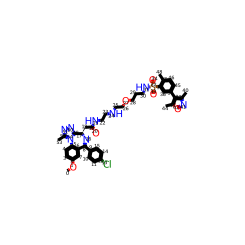 COc1ccc2c(c1)C(c1ccc(Cl)cc1)=N[C@@H](CC(=O)NCCNCCOCCCNS(=O)(=O)c1cc(-c3c(C)noc3C)ccc1C)c1nnc(C)n1-2